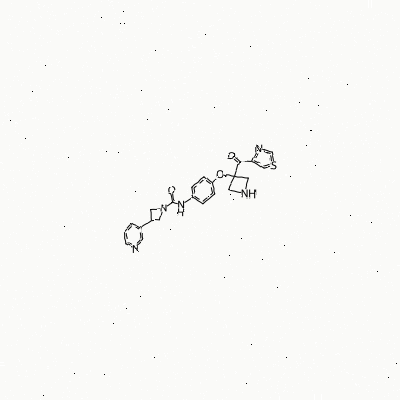 O=C(Nc1ccc(OC2(C(=O)c3cscn3)CNC2)cc1)N1CC(c2cccnc2)C1